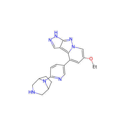 CCOc1cc(-c2ccc(N3C4CCC3CNC4)nc2)c2c3cn[nH]c3nn2c1